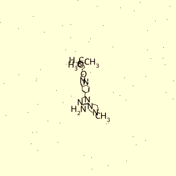 CN1CCCN(c2nc(-c3ccc4nn(COCC[Si](C)(C)C)cc4c3)cnc2N)CC1